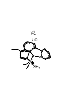 CC1=CC[C]([Zr]([CH3])([CH3])(=[SiH2])[CH]2c3ccccc3-c3ccccc32)=C1.Cl.Cl